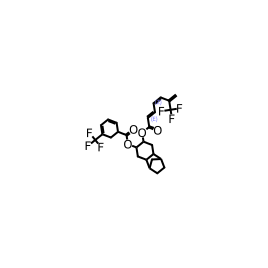 C=C(/C=C\C=C\C(=O)OC1CC2C3CCC(C3)C2CC1OC(=O)C1C=CC=C(C(F)(F)F)C1)C(F)(F)F